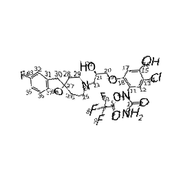 NC(=O)N(OC(=O)C(F)(F)F)c1cc(Cl)c(O)cc1OC[C@H](O)CN1CCC2(CC1)Cc1cc(F)ccc1O2